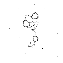 O[C@H]1C(N2c3ccccc3CCc3ccccc32)CCC[C@@H]1NCc1ccc(OC(F)(F)F)cc1